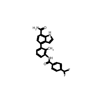 Cc1c(NC(=O)c2ccc(C(F)F)cc2)cccc1-c1ccc(C(N)=O)c2[nH]ccc12